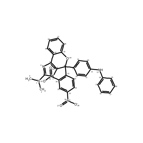 CN(C)c1nc2c(s1)C(c1ccc(Nc3ccccc3)cc1)(c1ccc([N+](=O)[O-])cc1[N+](=O)[O-])Oc1ccccc1-2